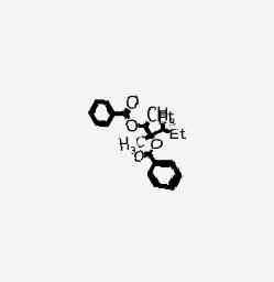 CCC(CC)C(C)(OC(=O)c1ccccc1)C(C)OC(=O)c1ccccc1